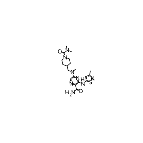 Cc1cc(Nc2nc(N(C)CC3CCN(C(=O)N(C)C)CC3)cnc2C(N)=O)sn1